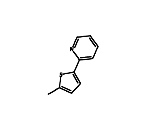 Cc1ccc(-c2ccccn2)s1